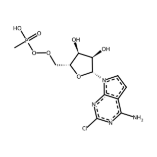 CP(=O)(O)OOC[C@H]1O[C@@H](n2ccc3c(N)nc(Cl)nc32)[C@H](O)[C@@H]1O